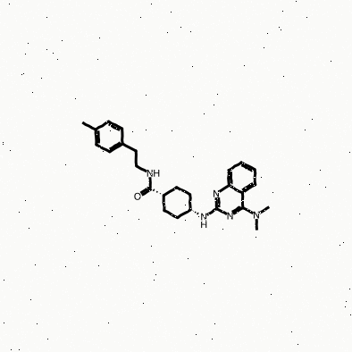 Cc1ccc(CCNC(=O)[C@H]2CC[C@@H](Nc3nc(N(C)C)c4ccccc4n3)CC2)cc1